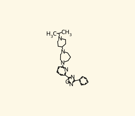 CC(C)N1CCC(N2CCCN(c3cccc(-c4nc(-c5ccccc5)no4)n3)CC2)CC1